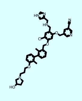 Cc1c(COc2cc(OCc3cncc(C#N)c3)c(CNCc3c[nH]cn3)cc2Cl)cccc1-c1cccc(OCCCN2CCC(O)C2)c1C